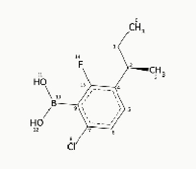 CC[C@@H](C)c1ccc(Cl)c(B(O)O)c1F